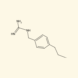 [CH2]CCc1ccc(CNC(=N)N)cc1